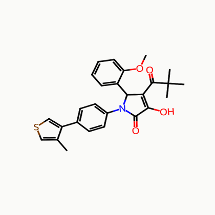 COc1ccccc1C1C(C(=O)C(C)(C)C)=C(O)C(=O)N1c1ccc(-c2cscc2C)cc1